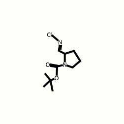 CC(C)(C)OC(=O)N1CCCC1C=NCl